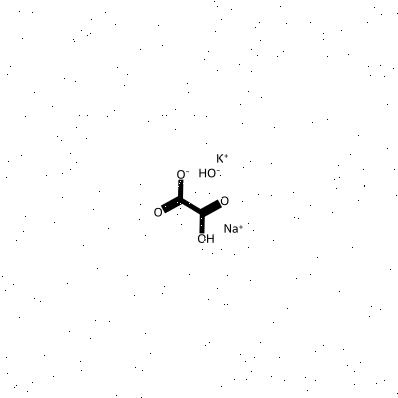 O=C([O-])C(=O)O.[K+].[Na+].[OH-]